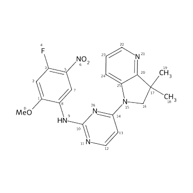 COc1cc(F)c([N+](=O)[O-])cc1Nc1nccc(N2CC(C)(C)c3ncccc32)n1